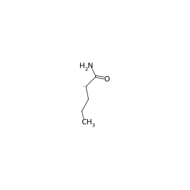 CCC[CH]C(N)=O